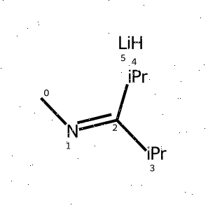 CN=C(C(C)C)C(C)C.[LiH]